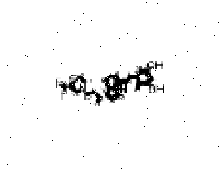 C=C1/C(=C\C=C2/CCC[C@]3(C)[C@@H](C(C)CCN4CCO[C@@H](C(F)F)C4)CC[C@@H]23)C[C@@H](O)C[C@@H]1O